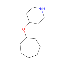 C1CCCC(OC2CCNCC2)CC1